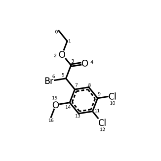 CCOC(=O)C(Br)c1cc(Cl)c(Cl)cc1OC